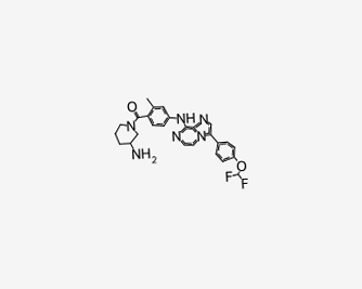 Cc1cc(Nc2nccn3c(-c4ccc(OC(F)F)cc4)cnc23)ccc1C(=O)N1CCCC(N)C1